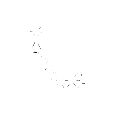 COc1cc(-c2cn(C)c(=O)c3ccc(F)cc23)cc(Cl)c1CN1CCC(N(C)C(=O)N2CCC(c3ccc(NC4CCC(=O)NC4=O)cc3)CC2)CC1